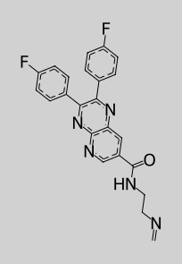 C=NCCNC(=O)c1cnc2nc(-c3ccc(F)cc3)c(-c3ccc(F)cc3)nc2c1